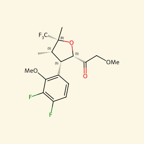 COCC(=O)[C@H]1O[C@@](C)(C(F)(F)F)[C@@H](C)[C@H]1c1ccc(F)c(F)c1OC